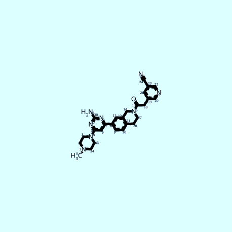 CN1CCN(c2cc(-c3ccc4c(c3)CN(C(=O)Cc3cncc(C#N)c3)CC4)nc(N)n2)CC1